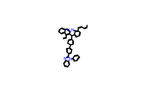 C=Cc1c(C(C2=CCC(c3ccc(-c4nc5ccccc5n4-c4ccccc4)cc3)C=C2)c2cccc(/C=C\C=C/C)c2N)ccc2ccccc12